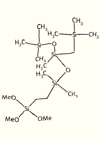 CO[Si](CC[Si](C)(C)O[Si](C)(C[Si](C)(C)C)O[Si](C)(C)C)(OC)OC